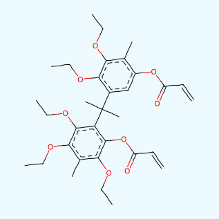 C=CC(=O)Oc1cc(C(C)(C)c2c(OCC)c(OCC)c(C)c(OCC)c2OC(=O)C=C)c(OCC)c(OCC)c1C